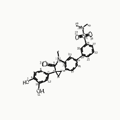 CN(C(=O)C1(c2ccc(O)c(O)c2)CC1)c1cccc(-c2cccc(S(=O)(=O)N(C)C)c2)c1